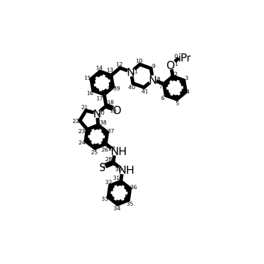 CC(C)Oc1ccccc1N1CCN(Cc2cccc(C(=O)N3CCc4ccc(NC(=S)Nc5ccccc5)cc43)c2)CC1